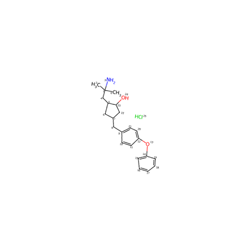 CC(C)(N)CC1CC(Cc2ccc(Oc3ccccc3)cc2)CC1O.Cl